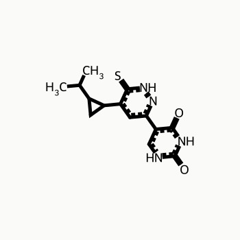 CC(C)C1CC1c1cc(-c2c[nH]c(=O)[nH]c2=O)n[nH]c1=S